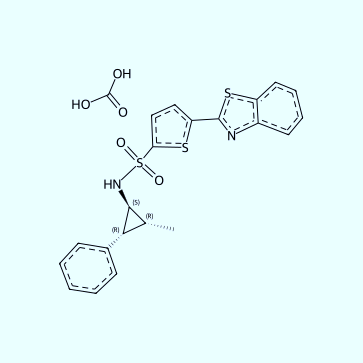 C[C@H]1[C@H](NS(=O)(=O)c2ccc(-c3nc4ccccc4s3)s2)[C@H]1c1ccccc1.O=C(O)O